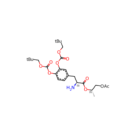 CC(=O)OC[C@H](C)OC(=O)[C@@H](N)Cc1ccc(OC(=O)OCC(C)(C)C)c(OC(=O)OCC(C)(C)C)c1